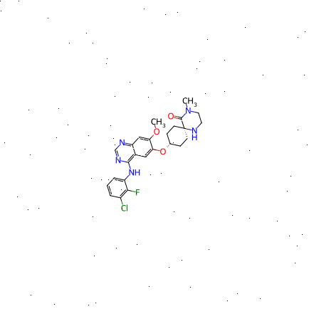 COc1cc2ncnc(Nc3cccc(Cl)c3F)c2cc1O[C@H]1CC[C@@]2(CC1)NCCN(C)C2=O